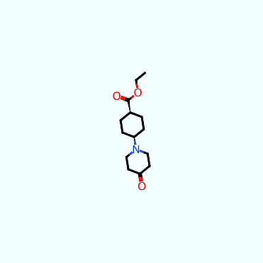 CCOC(=O)[C@H]1CC[C@@H](N2CCC(=O)CC2)CC1